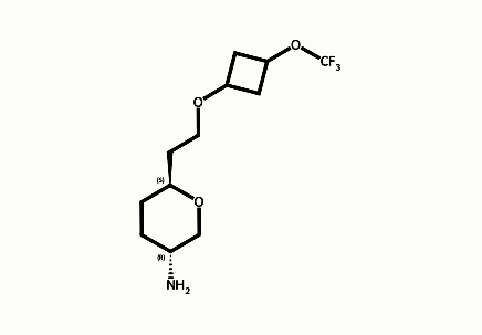 N[C@@H]1CC[C@@H](CCOC2CC(OC(F)(F)F)C2)OC1